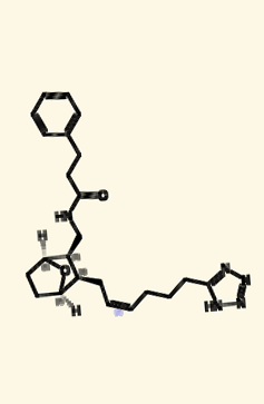 O=C(CCc1ccccc1)NC[C@H]1[C@@H](C/C=C\CCCc2nnn[nH]2)[C@H]2CC[C@@H]1O2